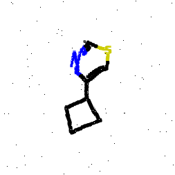 [c]1nc(C2CCC2)cs1